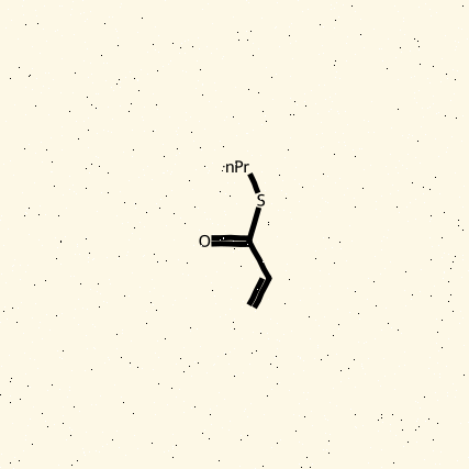 C=CC(=O)S[CH]CC